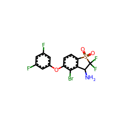 NC1c2c(ccc(Oc3cc(F)cc(F)c3)c2Br)S(=O)(=O)C1(F)F